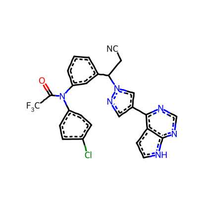 N#CCC(c1cccc(N(C(=O)C(F)(F)F)c2ccc(Cl)cc2)c1)n1cc(-c2ncnc3[nH]ccc23)cn1